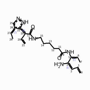 C=C/C=C(N)\C(=C/C)NC(=O)CCCCCNC(=O)/C(C=C)=c1\[nH]nc\c1=C\C